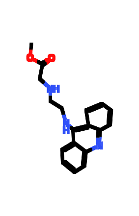 COC(=O)CNCCNc1c2ccccc2nc2ccccc12